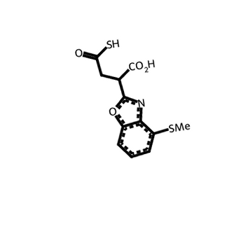 CSc1cccc2oc(C(CC(=O)S)C(=O)O)nc12